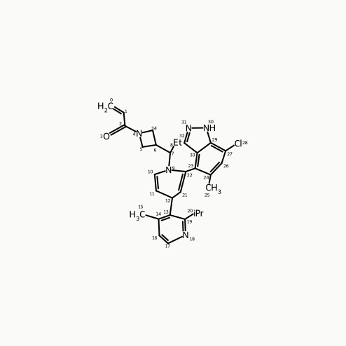 C=CC(=O)N1CC(C(CC)N2C=CC(c3c(C)ccnc3C(C)C)C=C2c2c(C)cc(Cl)c3[nH]ncc23)C1